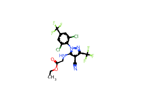 CCOC(=O)CNc1c(C#N)c(C(F)(F)F)nn1-c1c(Cl)cc(C(F)(F)F)cc1Cl